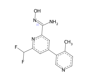 Cc1ccncc1-c1cc(/C(N)=N/O)nc(C(F)F)c1